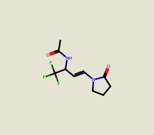 CC(=O)NC(/C=C/N1CCCC1=O)C(F)(F)F